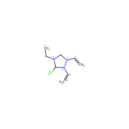 C=CN1CN(CC)C(Cl)N1C=C